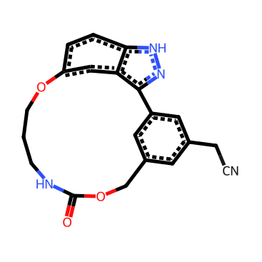 N#CCc1cc2cc(c1)-c1n[nH]c3ccc(cc13)OCCCNC(=O)OC2